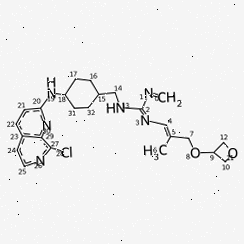 C=N/C(=N\C=C(/C)COC1COC1)NCC1CCC(Nc2ccc3ccnc(Cl)c3n2)CC1